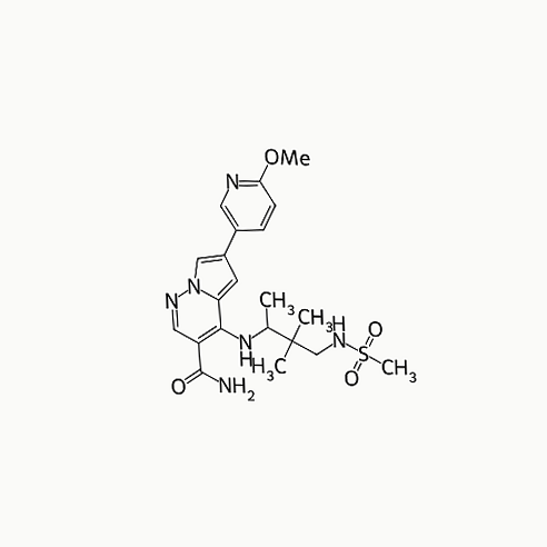 COc1ccc(-c2cc3c(NC(C)C(C)(C)CNS(C)(=O)=O)c(C(N)=O)cnn3c2)cn1